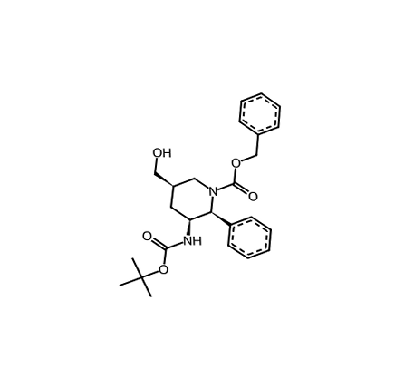 CC(C)(C)OC(=O)N[C@H]1C[C@@H](CO)CN(C(=O)OCc2ccccc2)[C@H]1c1ccccc1